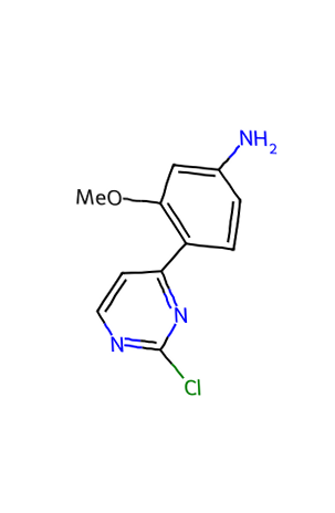 COc1cc(N)ccc1-c1ccnc(Cl)n1